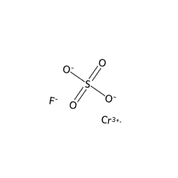 O=S(=O)([O-])[O-].[Cr+3].[F-]